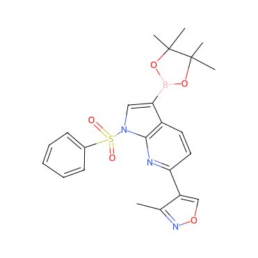 Cc1nocc1-c1ccc2c(B3OC(C)(C)C(C)(C)O3)cn(S(=O)(=O)c3ccccc3)c2n1